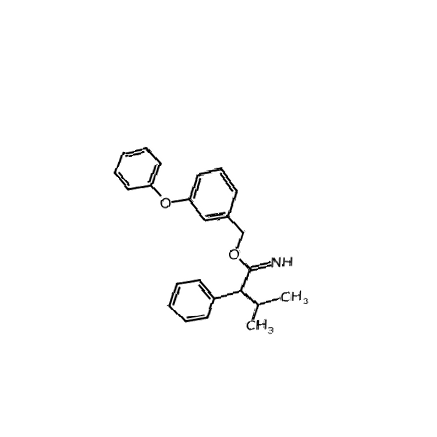 CC(C)C(C(=N)OCc1cccc(Oc2ccccc2)c1)c1ccccc1